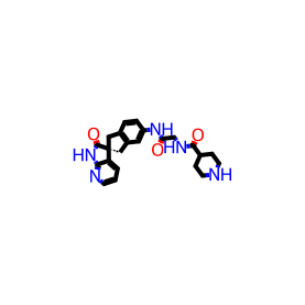 O=C(CNC(=O)C1CCNCC1)Nc1ccc2c(c1)C[C@@]1(C2)C(=O)Nc2ncccc21